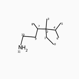 CCC(C)(C(C)C)C(C)CCN